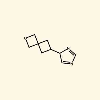 C1=NC=NC1C1CC2(COC2)C1